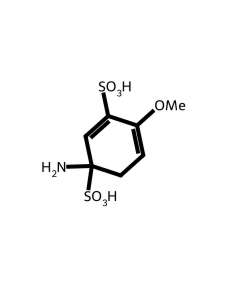 COC1=CCC(N)(S(=O)(=O)O)C=C1S(=O)(=O)O